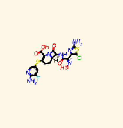 Nc1nc(/C(=N/O)C(=O)N[C@@H]2C(=O)N3C(C(=O)O)=C(Sc4cnc(N)c(F)c4)CC[C@H]23)c(Cl)s1